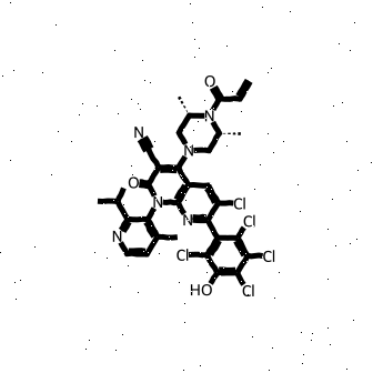 C=CC(=O)N1[C@H](C)CN(c2c(C#N)c(=O)n(-c3c(C)ccnc3C(C)C)c3nc(-c4c(Cl)c(O)c(Cl)c(Cl)c4Cl)c(Cl)cc23)C[C@@H]1C